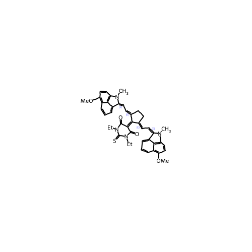 CCN1C(=O)C(=C2/C(=C/C=c3\c4cccc5c(OC)ccc(c54)n3C)CC/C2=C\C=c2/c3cccc4c(OC)ccc(c43)n2C)C(=O)N(CC)C1=S